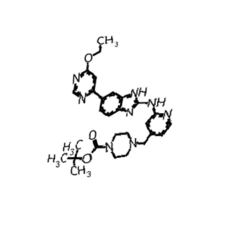 CCOc1cc(-c2ccc3nc(Nc4cc(CN5CCN(C(=O)OC(C)(C)C)CC5)ccn4)[nH]c3c2)ncn1